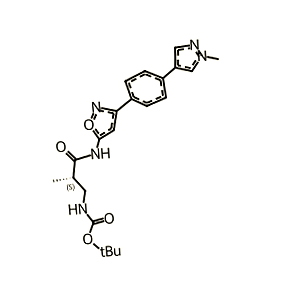 C[C@@H](CNC(=O)OC(C)(C)C)C(=O)Nc1cc(-c2ccc(-c3cnn(C)c3)cc2)no1